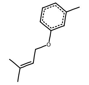 CC(C)=CCOc1cccc(C)c1